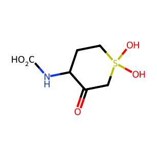 O=C(O)NC1CCS(O)(O)CC1=O